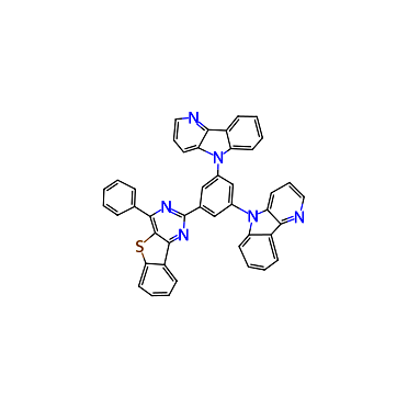 c1ccc(-c2nc(-c3cc(-n4c5ccccc5c5ncccc54)cc(-n4c5ccccc5c5ncccc54)c3)nc3c2sc2ccccc23)cc1